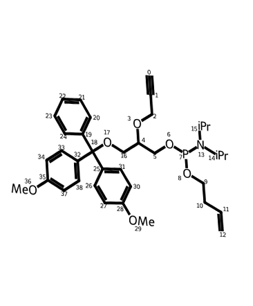 C#CCOC(COP(OCCC=C)N(C(C)C)C(C)C)COC(c1ccccc1)(c1ccc(OC)cc1)c1ccc(OC)cc1